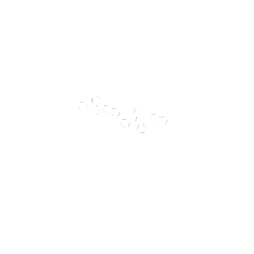 CC1(C)c2ccccc2-c2c1ccc1c2sc2cc3cc(-c4cccc(-c5c6ccccc6c(-c6ccc7ccccc7c6)c6ccccc56)c4)ccc3cc21